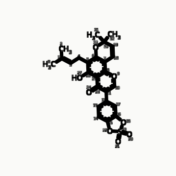 CC(C)=CCc1c2c(c3occ(-c4ccc5c(c4)OS(=O)(=O)O5)c(=O)c3c1O)C=CC(C)(C)O2